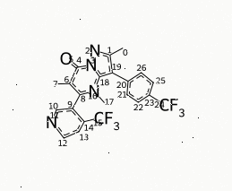 Cc1nn2c(=O)c(C)c(-c3cnccc3C(F)(F)F)n(C)c2c1-c1ccc(C(F)(F)F)cc1